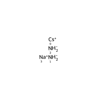 [Cs+].[NH2-].[NH2-].[Na+]